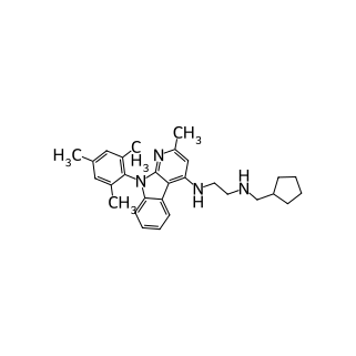 Cc1cc(C)c(-n2c3ccccc3c3c(NCCNCC4CCCC4)cc(C)nc32)c(C)c1